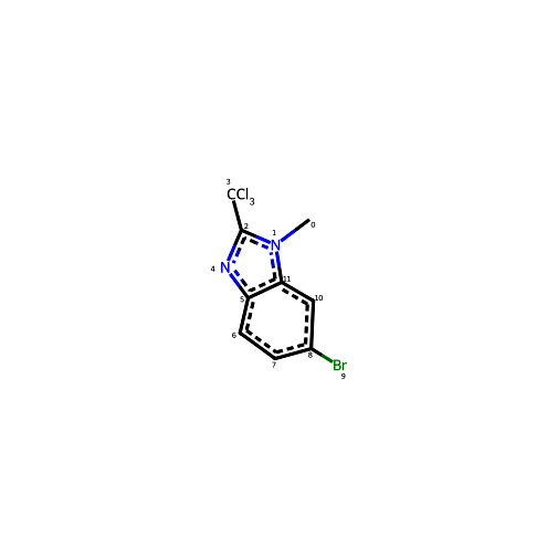 Cn1c(C(Cl)(Cl)Cl)nc2ccc(Br)cc21